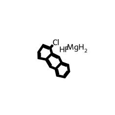 Clc1cccc2cc3ccccc3cc12.F.[MgH2]